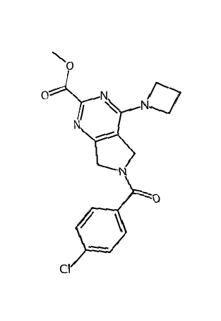 COC(=O)c1nc2c(c(N3CCC3)n1)CN(C(=O)c1ccc(Cl)cc1)C2